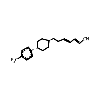 N#CC=CC=CCC[C@H]1CC[C@H](c2ccc(C(F)(F)F)cc2)CC1